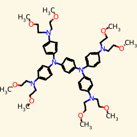 COCCN(CCOC)c1ccc(N(c2ccc(N(CCOC)CCOC)cc2)c2ccc(N(c3ccc(N(CCOC)CCOC)cc3)c3ccc(N(CCOC)CCOC)cc3)cc2)cc1